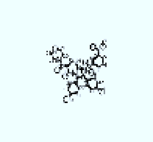 COC(=O)c1cccc(S(=O)(=O)N2c3ccc(C(=O)N4CCOCC4)c(=O)n3C(c3ccc(Cl)cc3)C2c2ccc(Cl)cc2)c1